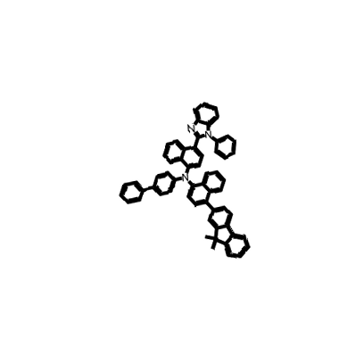 CC1(C)c2ccccc2-c2ccc(-c3ccc(N(c4ccc(-c5ccccc5)cc4)c4ccc(-c5nc6ccccc6n5-c5ccccc5)c5ccccc45)c4ccccc34)cc21